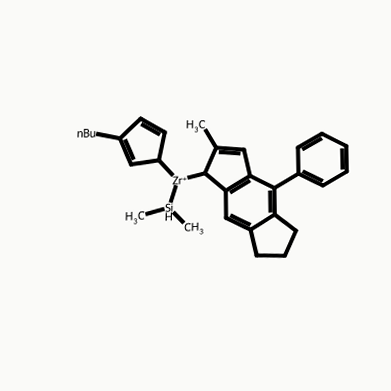 CCCCC1=C[CH]([Zr+]([CH]2C(C)=Cc3c2cc2c(c3-c3ccccc3)CCC2)[SiH](C)C)C=C1